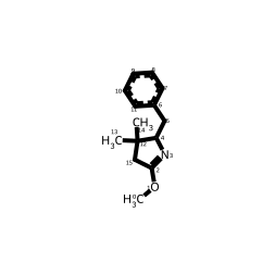 COC1=NC(Cc2ccccc2)C(C)(C)C1